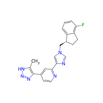 Cc1[nH]nnc1-c1ccnc(-c2cn(C[C@@H]3CCc4c(F)cccc43)cn2)c1